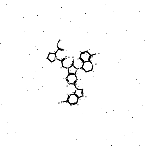 COC(=O)C1CCCN1C(=O)Cn1c(=O)n(C2CCOc3c(F)cccc32)c2nc(-n3cnc4ccc(F)cc43)ncc21